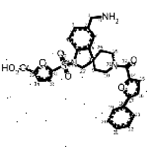 NCc1ccc2c(c1)C1(CCN(C(=O)c3ccc(-c4ccccc4)o3)CC1)CN2S(=O)(=O)c1ccc(C(=O)O)o1